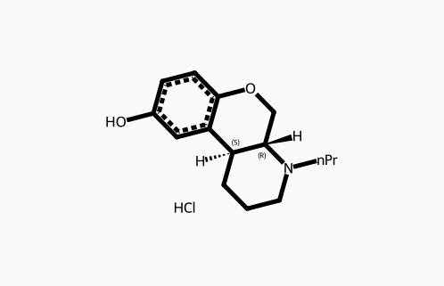 CCCN1CCC[C@H]2c3cc(O)ccc3OC[C@@H]21.Cl